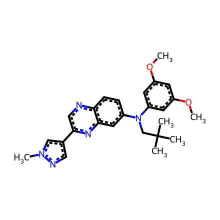 COc1cc(OC)cc(N(CC(C)(C)C)c2ccc3ncc(-c4cnn(C)c4)nc3c2)c1